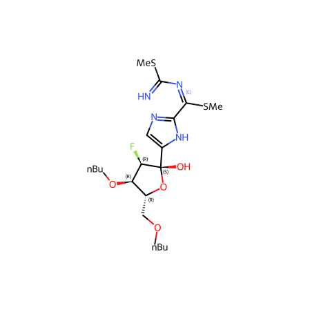 CCCCOC[C@H]1O[C@@](O)(c2cnc(/C(=N\C(=N)SC)SC)[nH]2)[C@H](F)[C@@H]1OCCCC